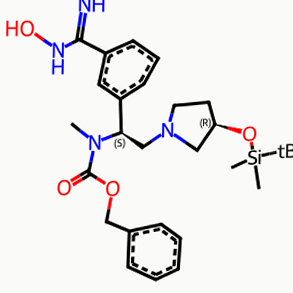 CN(C(=O)OCc1ccccc1)[C@H](CN1CC[C@@H](O[Si](C)(C)C(C)(C)C)C1)c1cccc(C(=N)NO)c1